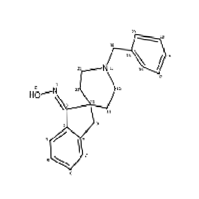 ON=C1c2ccccc2CC12CCN(Cc1ccccc1)CC2